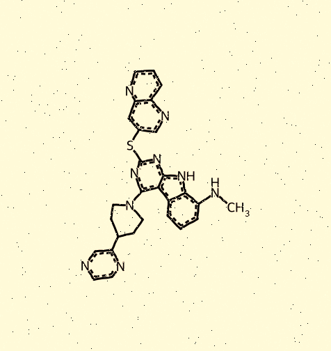 CNc1cccc2c1[nH]c1nc(Sc3cnc4cccnc4c3)nc(N3CCC(c4cnccn4)CC3)c12